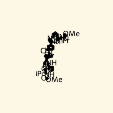 COC(=O)N[C@H](C(=O)N1CCCC1C1=NCC(c2csc3c2ccn3-c2ccc(-c3cnc(C4CCCN4C(=O)[C@@H](NC(=O)OC)C(C)C)[nH]3)cc2Cl)N1)C(C)C